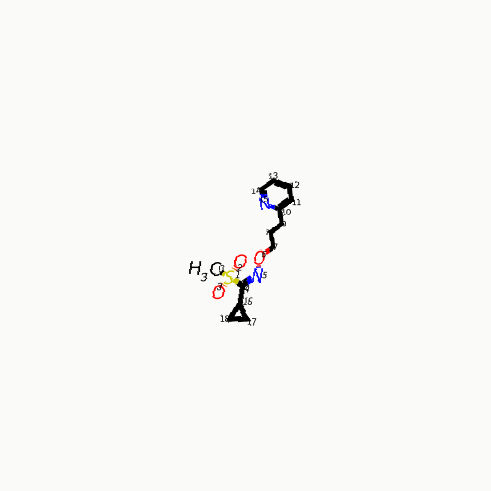 CS(=O)(=O)C(=NOCCCc1ccccn1)C1CC1